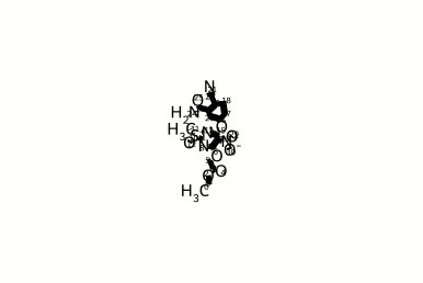 CCOC(=O)COc1nc([S+](C)[O-])nc(Oc2ccc(C#N)c(C(N)=O)c2)c1[N+](=O)[O-]